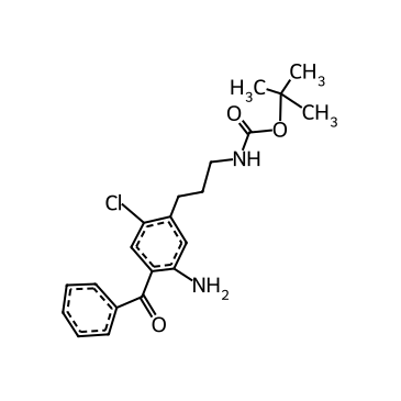 CC(C)(C)OC(=O)NCCCc1cc(N)c(C(=O)c2ccccc2)cc1Cl